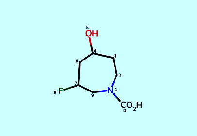 O=C(O)N1CCC(O)CC(F)C1